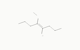 CCCC([SiH3])=C(CCC)OC